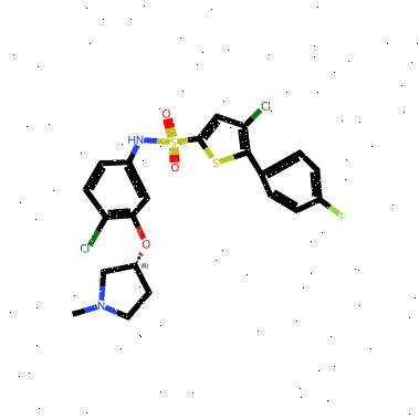 CN1CC[C@@H](Oc2cc(NS(=O)(=O)c3cc(Cl)c(-c4ccc(F)cc4)s3)ccc2Cl)C1